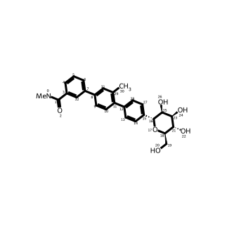 CNC(=O)c1cccc(-c2ccc(-c3ccc([C@H]4O[C@H](CO)[C@@H](O)[C@H](O)[C@@H]4O)cc3)c(C)c2)c1